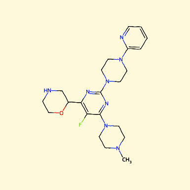 CN1CCN(c2nc(N3CCN(c4ccccn4)CC3)nc(C3CNCCO3)c2F)CC1